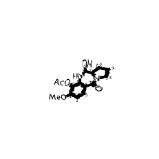 COc1ccc2c(c1OC(C)=O)NC(O)C1CCCN1C2=O